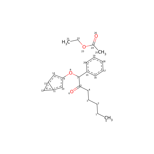 CCCCCC(=O)C(Oc1cc2cc-2c1)c1ccccc1.CCOC(C)=O